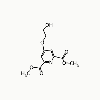 COC(=O)c1cc(OCCO)cc(C(=O)OC)n1